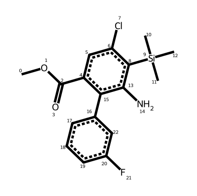 COC(=O)c1cc(Cl)c([Si](C)(C)C)c(N)c1-c1cccc(F)c1